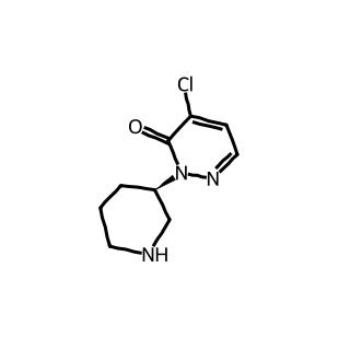 O=c1c(Cl)ccnn1[C@@H]1CCCNC1